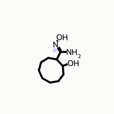 N/C(=N\O)C1CCCCCCCC1O